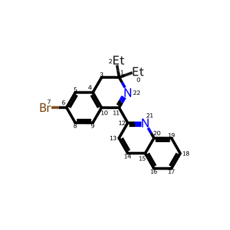 CCC1(CC)Cc2cc(Br)ccc2C(c2ccc3ccccc3n2)=N1